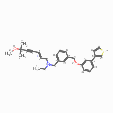 CCN(C/C=C/C#CC(C)(C)OC)Cc1cccc(COc2cccc(-c3ccsc3)c2)c1